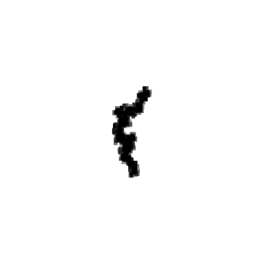 O=C(OC(=O)c1cc(F)c2nc(Cc3cc(F)c(-c4cccc(OCc5ncc(C(F)F)s5)n4)cc3F)n(CC3(CF)CC3)c2c1)c1cc(F)c2nc(Cc3cc(F)c(-c4cccc(OCc5ncc(C(F)F)s5)n4)cc3F)n(CC3(CF)CC3)c2c1